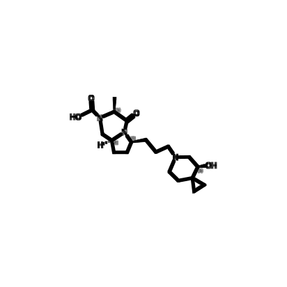 C[C@H]1C(=O)N2[C@@H](CCCN3CCC4(CC4)[C@H](O)C3)CC[C@H]2CN1C(=O)O